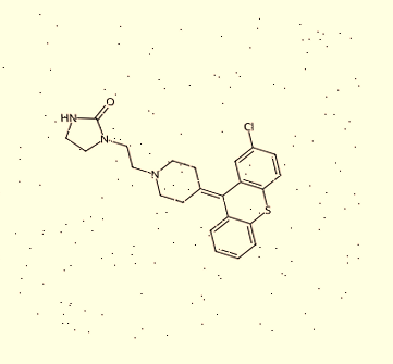 O=C1NCCN1CCN1CCC(=C2c3ccccc3Sc3ccc(Cl)cc32)CC1